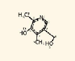 Cc1ncc(CO)c(C)c1O